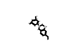 CCc1ccc2c(c1)OCN(c1cc(C)cc(C)c1)C2